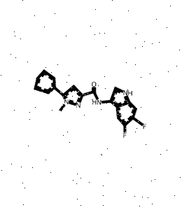 Cn1nc(C(=O)Nc2c[nH]c3cc(F)c(F)cc23)cc1-c1ccccc1